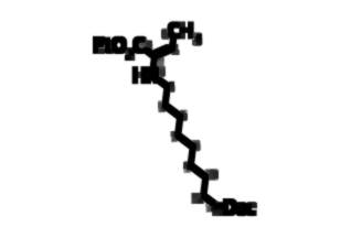 CC=C(NCCCCCCCCCCCCCCCCCC)C(=O)OCC